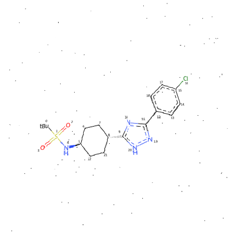 CC(C)(C)S(=O)(=O)N[C@H]1CC[C@H](c2nc(-c3ccc(Cl)cc3)n[nH]2)CC1